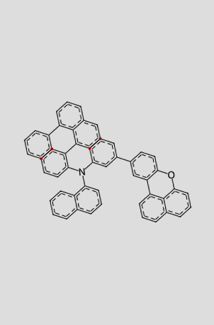 c1ccc(-c2cccc3cccc(-c4ccccc4N(c4cccc(-c5ccc6c(c5)-c5cccc7cccc(c57)O6)c4)c4cccc5ccccc45)c23)cc1